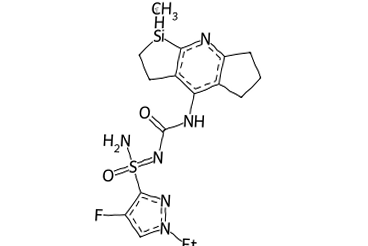 CCn1cc(F)c(S(N)(=O)=NC(=O)Nc2c3c(nc4c2CC[Si@@H]4C)CCC3)n1